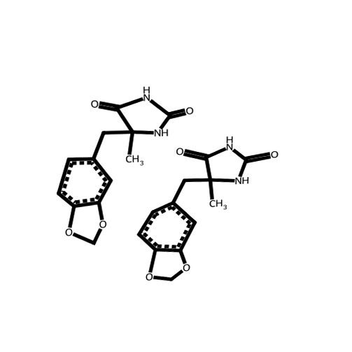 CC1(Cc2ccc3c(c2)OCO3)NC(=O)NC1=O.CC1(Cc2ccc3c(c2)OCO3)NC(=O)NC1=O